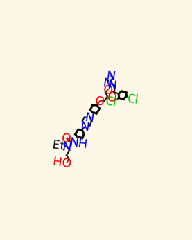 CCN(CCCO)C(=O)Nc1ccc(N2CCN(c3ccc(OCC4COC(Cn5cncn5)(c5ccc(Cl)cc5Cl)O4)cc3)CC2)cc1